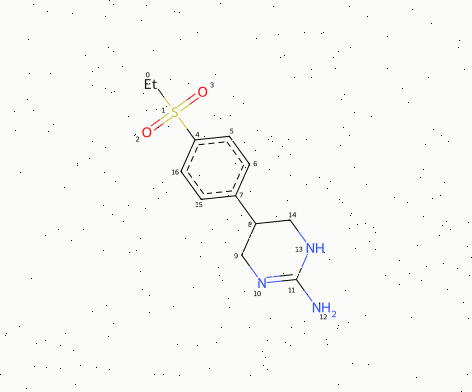 CCS(=O)(=O)c1ccc(C2CN=C(N)NC2)cc1